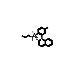 CCCNS(=O)(=O)c1ccc(C)cc1N1C=CC=C2C=CC=CC21